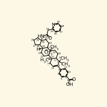 CC1(C)C(c2ccc(C(=O)O)cc2)=CC[C@@]2(C)C1CC[C@]1(C)C2CC[C@@H]2C3CCC[C@]3(NC(=O)Cc3ccccn3)CC[C@]21C